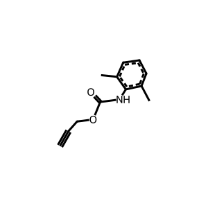 C#CCOC(=O)Nc1c(C)cccc1C